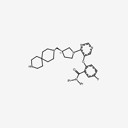 CC(C)N(C(=O)c1cc(F)ccc1Oc1cncnc1N1CC[C@@H](CN2CCC3(CCNCC3)CC2)C1)C(C)C